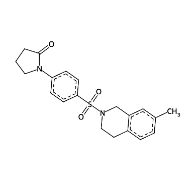 Cc1ccc2c(c1)CN(S(=O)(=O)c1ccc(N3CCCC3=O)cc1)CC2